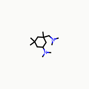 CN(C)CC1(C)CC(N(C)C)CC(C)(C)C1